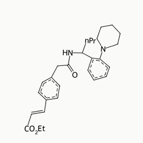 CCCC(NC(=O)Cc1ccc(C=CC(=O)OCC)cc1)c1ccccc1N1CCCCC1